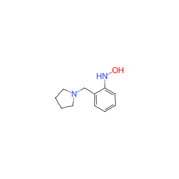 ONc1ccccc1CN1CCCC1